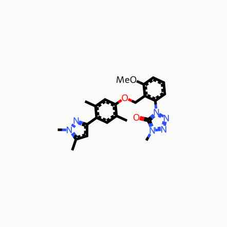 COc1cccc(-n2nnn(C)c2=O)c1COc1cc(C)c(-c2cc(C)n(C)n2)cc1C